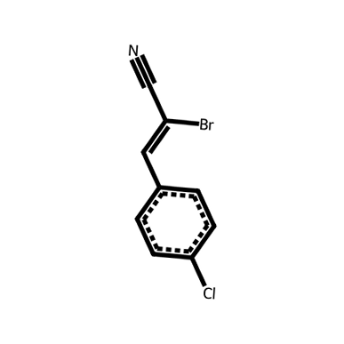 N#CC(Br)=Cc1ccc(Cl)cc1